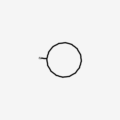 [N]C1CCCCCCCCCCCCCCC1